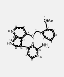 COc1ccccc1COc1ccnc2[nH]cc(-c3ccnc(N)n3)c12